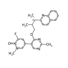 Cc1ncc(-c2cc(F)c(=O)n(C)c2)c(OCC(C)[C@H](C)c2ccc3ccccc3n2)n1